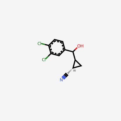 N#C[C@H]1CC1C(O)c1ccc(Cl)c(Cl)c1